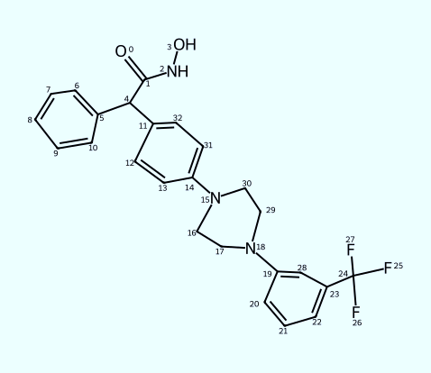 O=C(NO)C(c1ccccc1)c1ccc(N2CCN(c3cccc(C(F)(F)F)c3)CC2)cc1